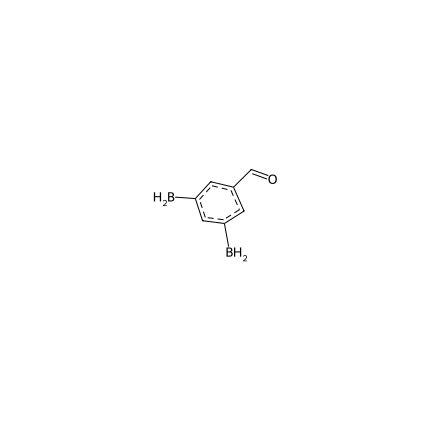 Bc1cc(B)cc(C=O)c1